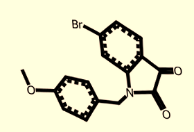 COc1ccc(CN2C(=O)C(=O)c3ccc(Br)cc32)cc1